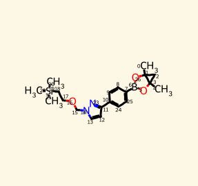 CC12CC1(C)OB(c1ccc(-c3ccn(COCC[Si](C)(C)C)n3)cc1)O2